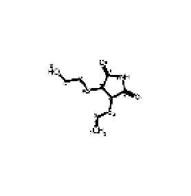 CCSC1C(=O)NC(=O)C1SCCO